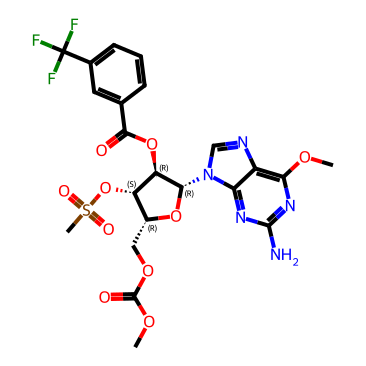 COC(=O)OC[C@H]1O[C@@H](n2cnc3c(OC)nc(N)nc32)[C@H](OC(=O)c2cccc(C(F)(F)F)c2)[C@H]1OS(C)(=O)=O